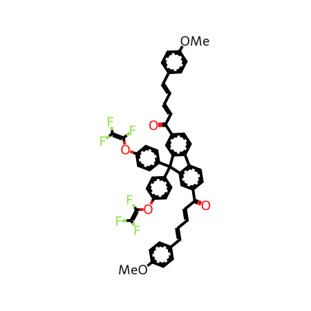 COc1ccc(C=CC=CC(=O)c2ccc3c(c2)C(c2ccc(OC(F)=C(F)F)cc2)(c2ccc(OC(F)=C(F)F)cc2)c2cc(C(=O)C=CC=Cc4ccc(OC)cc4)ccc2-3)cc1